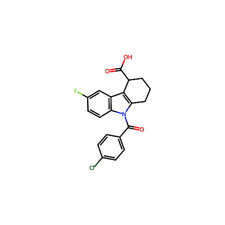 O=C(O)C1CCCc2c1c1cc(F)ccc1n2C(=O)c1ccc(Cl)cc1